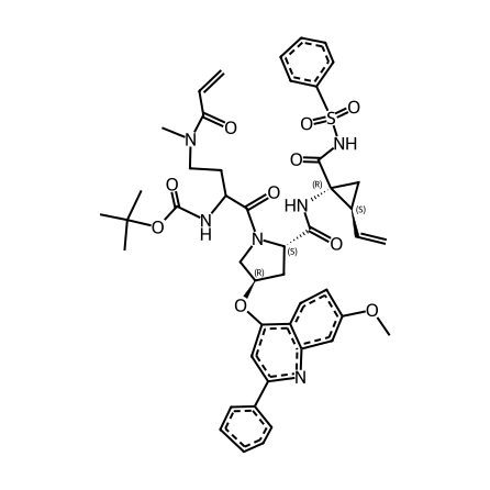 C=CC(=O)N(C)CCC(NC(=O)OC(C)(C)C)C(=O)N1C[C@H](Oc2cc(-c3ccccc3)nc3cc(OC)ccc23)C[C@H]1C(=O)N[C@]1(C(=O)NS(=O)(=O)c2ccccc2)C[C@H]1C=C